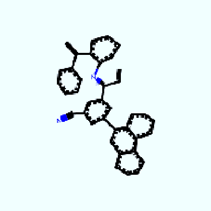 C=C/C(=N\c1ccccc1C(=C)c1ccccc1)c1cc(C#N)cc(-c2cc3ccccc3c3ccccc23)c1